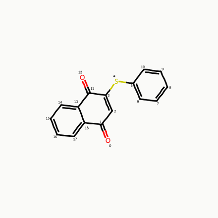 O=C1C=C(Sc2ccccc2)C(=O)c2ccccc21